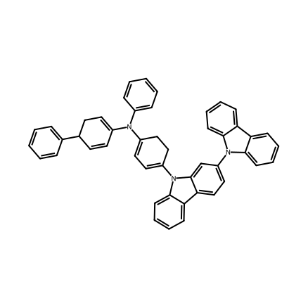 C1=CC(c2ccccc2)CC=C1N(C1=CC=C(n2c3ccccc3c3ccc(-n4c5ccccc5c5ccccc54)cc32)CC1)c1ccccc1